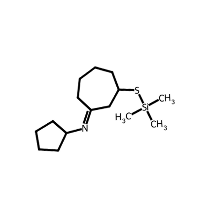 C[Si](C)(C)SC1CCCC/C(=N\C2CCCC2)C1